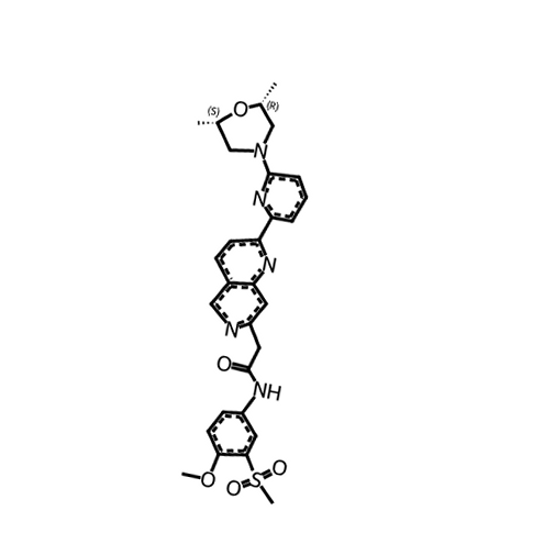 COc1ccc(NC(=O)Cc2cc3nc(-c4cccc(N5C[C@@H](C)O[C@@H](C)C5)n4)ccc3cn2)cc1S(C)(=O)=O